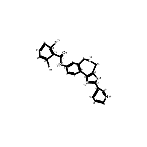 O=C(Nc1ccc2c(c1)CCCc1sc(-c3cccnc3)nc1-2)c1c(F)cccc1F